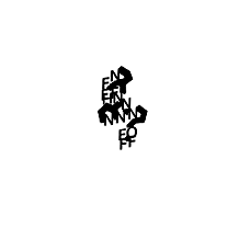 FC(F)(F)OCC1CCCN1c1nc(NCc2cccnc2C(F)(F)F)c2cccnc2n1